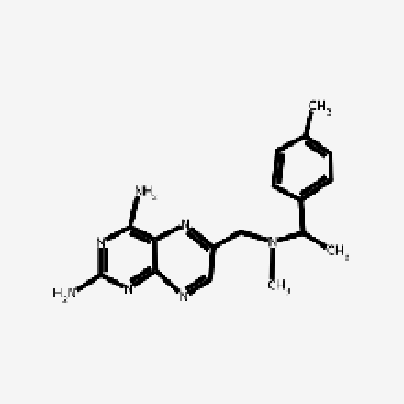 Cc1ccc(C(C)N(C)Cc2cnc3nc(N)nc(N)c3n2)cc1